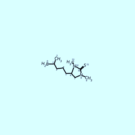 BC(C)CCCC1CN(C)C(=S)N1C